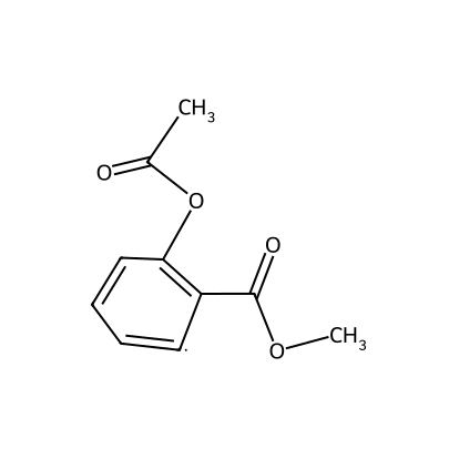 COC(=O)c1[c]cccc1OC(C)=O